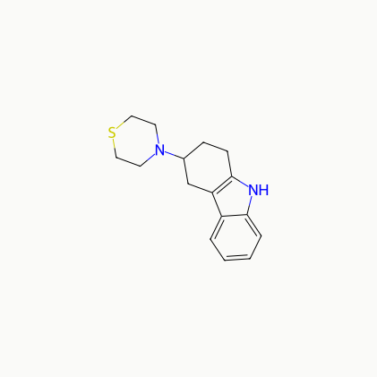 c1ccc2c3c([nH]c2c1)CCC(N1CCSCC1)C3